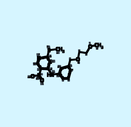 COCCOCc1cccc(Nc2nc(SC)ncc2[N+](=O)[O-])c1